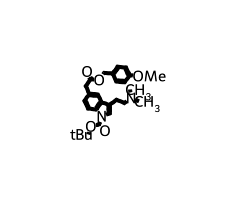 COc1ccc(COC(=O)Cc2ccc3c(c2)c(CCN(C)C)cn3C(=O)OC(C)(C)C)cc1